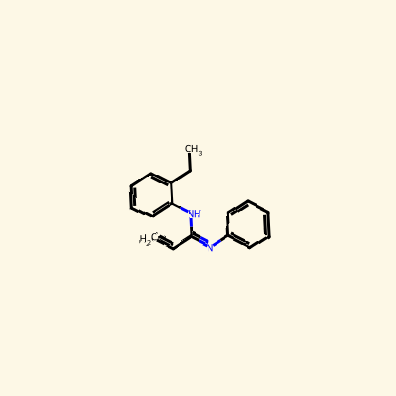 C=CC(=Nc1ccccc1)Nc1ccccc1CC